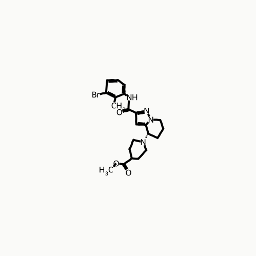 COC(=O)C1CCN([C@H]2CCCn3nc(C(=O)Nc4cccc(Br)c4C)cc32)CC1